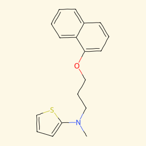 CN(CCCOc1cccc2ccccc12)c1cccs1